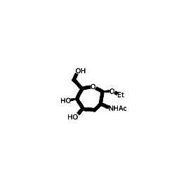 CCO[C@@H]1OC(CO)[C@H](O)C(O)CC1NC(C)=O